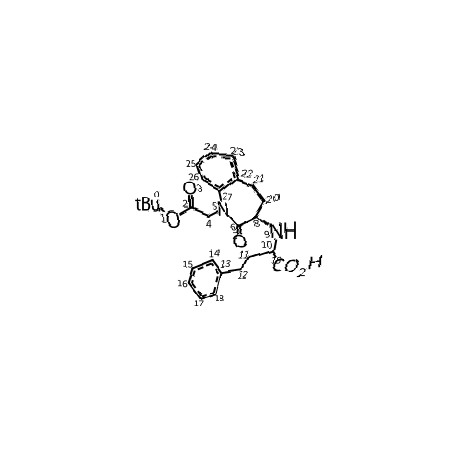 CC(C)(C)OC(=O)CN1C(=O)[C@H](NC(CCc2ccccc2)C(=O)O)CCc2ccccc21